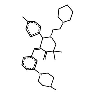 Cc1ccc(C2C(=Cc3cccc(N4CCN(C)CC4)n3)C(=O)C(C)(C)CN2CCN2CCCCC2)cc1